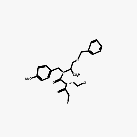 COc1ccc(CN(C(=O)[C@H](CCCl)C(=O)CF)C(COCc2ccccc2)C(=O)O)cc1